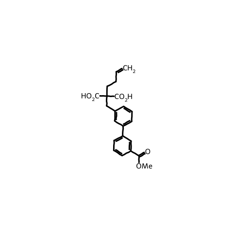 C=CCCC(Cc1cccc(-c2cccc(C(=O)OC)c2)c1)(C(=O)O)C(=O)O